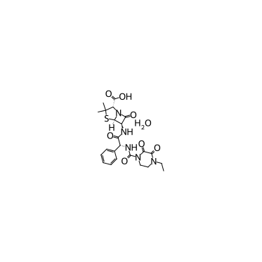 CCN1CCN(C(=O)N[C@@H](C(=O)N[C@@H]2C(=O)N3[C@@H]2SC(C)(C)[C@@H]3C(=O)O)c2ccccc2)C(=O)C1=O.O